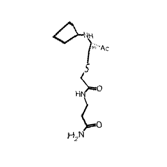 CC(=O)[C@H](CSCC(=O)NCCC(N)=O)NC1CCC1